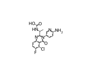 CC(NC(=O)O)c1nc2ccc(F)c(Cl)c2c(=O)n1-c1ccc(N)nc1